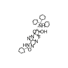 O=C(Nc1ncnc2c1ncn2[C@@H]1O[C@H](CNC(c2ccccc2)(c2ccccc2)c2ccccc2)[C@@H](O)[C@H]1F)c1ccccc1